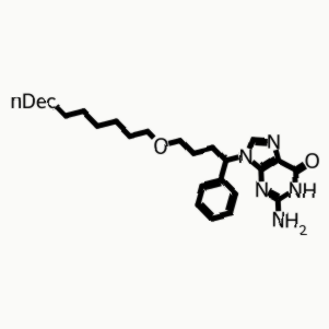 CCCCCCCCCCCCCCCCOCCC[C](c1ccccc1)n1cnc2c(=O)[nH]c(N)nc21